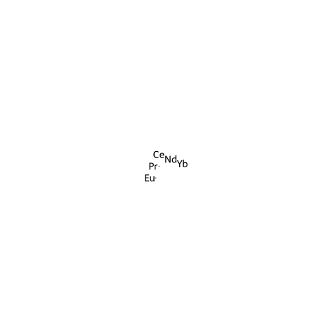 [Ce].[Eu].[Nd].[Pr].[Yb]